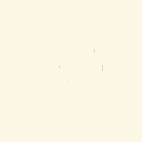 COc1cc(F)ccc1N[C@@H]1C[C@H](C)N(C(C)O)c2ccc(-c3cccc(NC(C)=O)c3)cc21